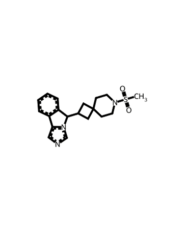 CS(=O)(=O)N1CCC2(CC1)CC(C1c3ccccc3-c3cncn31)C2